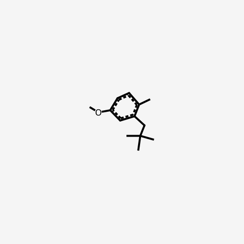 COc1ccc(C)c(CC(C)(C)C)c1